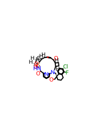 C[C@@H]1[C@@H](C)S(=O)(=O)NC(=O)c2ccc3c(n2)N(C[C@@H]2CC[C@H]2C(=O)C2=C[C@H]1C2)C[C@@]1(CCCc2c1ccc(Cl)c2F)CO3